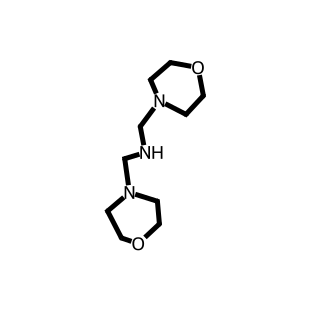 C1CN(CNCN2CCOCC2)CCO1